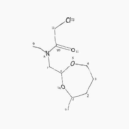 CC1CCCOC(CN(C)C(=O)CCl)O1